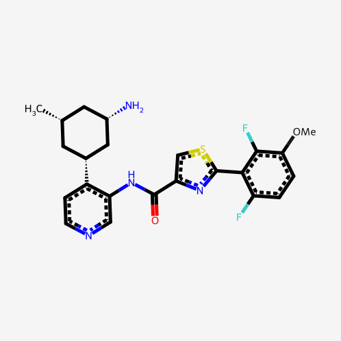 COc1ccc(F)c(-c2nc(C(=O)Nc3cnccc3[C@@H]3C[C@H](C)C[C@H](N)C3)cs2)c1F